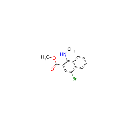 CNc1c(C(=O)OC)cc(Br)c2ccccc12